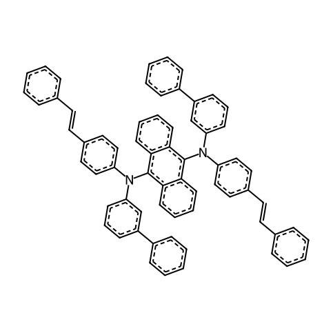 C(=Cc1ccc(N(c2cccc(-c3ccccc3)c2)c2c3ccccc3c(N(c3ccc(C=Cc4ccccc4)cc3)c3cccc(-c4ccccc4)c3)c3ccccc23)cc1)c1ccccc1